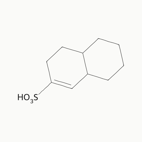 O=S(=O)(O)C1=CC2CCCCC2CC1